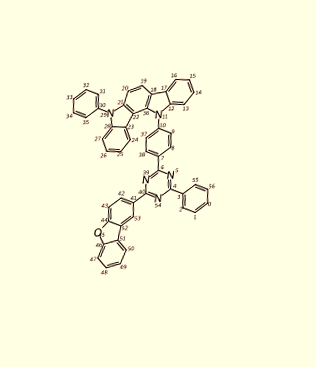 c1ccc(-c2nc(-c3ccc(-n4c5ccccc5c5ccc6c(c7ccccc7n6-c6ccccc6)c54)cc3)nc(-c3ccc4oc5ccccc5c4c3)n2)cc1